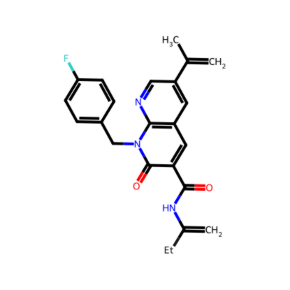 C=C(CC)NC(=O)c1cc2cc(C(=C)C)cnc2n(Cc2ccc(F)cc2)c1=O